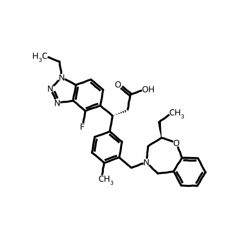 CC[C@@H]1CN(Cc2cc([C@@H](CC(=O)O)c3ccc4c(nnn4CC)c3F)ccc2C)Cc2ccccc2O1